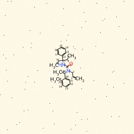 C=CCN(C(=O)NC(CC)(CC)c1ccccc1)C(C)c1ccccc1C